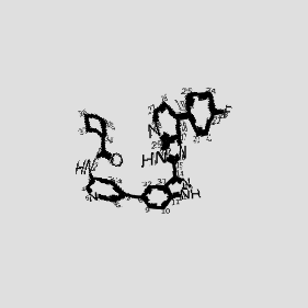 O=C(Nc1cncc(-c2ccc3[nH]nc(-c4nc5c(-c6ccc(F)cc6)ccnc5[nH]4)c3c2)c1)C1CCC1